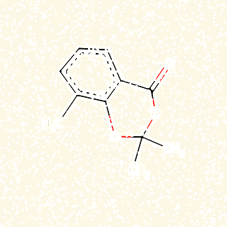 Cc1cccc2c1OC(C)(C)OC2=O